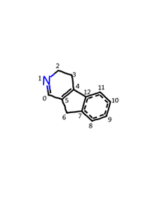 C1=NCCC2=C1Cc1ccccc12